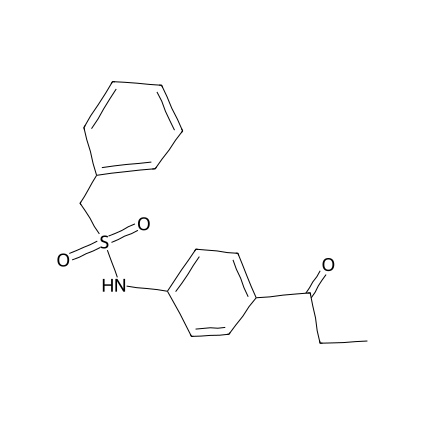 CCC(=O)c1ccc(NS(=O)(=O)Cc2ccccc2)cc1